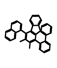 Cc1c(C)c(-c2cccc3ccccc23)c2c(c1-c1ccccc1-c1ccccc1)Cc1ccccc1-2